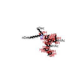 CCCCCCCCCCCCC/C=C/[C@@H](O)[C@H](CO[C@@H]1OC(CO)[C@@H](O[C@@H]2OC(CO)[C@H](O[C@@H]3OC(CO)[C@H](O)[C@H](O[C@@H]4OC(CO)[C@H](O)[C@H](O)C4O[C@H]4OC(C)[C@@H](O)C(O)[C@@H]4O)C3NC(C)=O)[C@H](O[C@]3(C(=O)O)CC(O)[C@@H](NC(C)=O)C([C@H](O)[C@H](O)CO)O3)C2O)[C@H](O)C1O)NC(=O)CCCCCCCCCCCCCCCCCCC